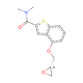 CN(C)C(=O)c1cc2c(OC[C@@H]3CO3)cccc2s1